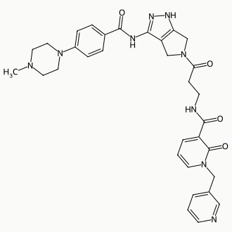 CN1CCN(c2ccc(C(=O)Nc3n[nH]c4c3CN(C(=O)CCNC(=O)c3cccn(Cc5cccnc5)c3=O)C4)cc2)CC1